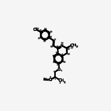 COC(C)COc1ccc2c(c1)CC(C)N=C2C=Cc1ccc(Cl)cc1